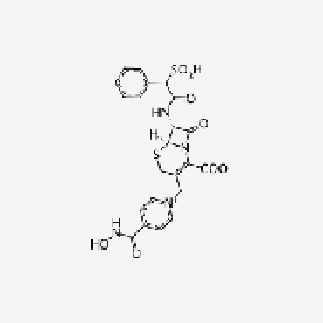 O=C([O-])C1=C(C[n+]2ccc(C(=O)NO)cc2)CS[C@H]2[C@H](NC(=O)C(c3ccccc3)S(=O)(=O)O)C(=O)N12